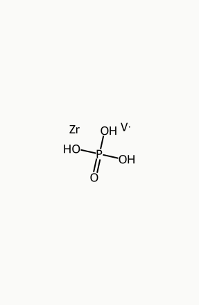 O=P(O)(O)O.[V].[Zr]